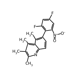 Cc1nc2ccc(-c3c(F)cc(F)cc3[N+](=O)[O-])c(C)c2c(C)c1C